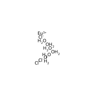 O.O.O.O.O.O.[Cl-].[Cl-].[Cl-].[Eu+3]